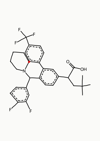 CC(C)(C)CC(C(=O)O)c1ccc(C(c2ccc(F)c(F)c2)N2CCCCC2)c(-c2ccc(C(F)(F)F)cc2)c1